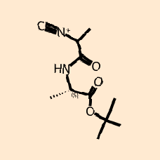 [C-]#[N+]C(C)C(=O)N[C@@H](C)C(=O)OC(C)(C)C